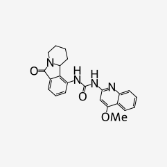 COc1cc(NC(=O)Nc2cccc3c2C2CCCCN2C3=O)nc2ccccc12